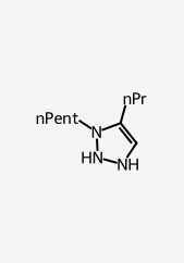 CCCCCN1NNC=C1CCC